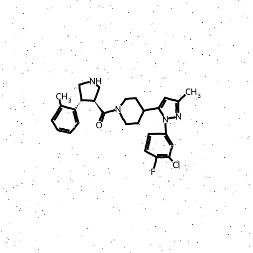 Cc1cc(C2CCN(C(=O)[C@@H]3CNC[C@H]3c3ccccc3C)CC2)n(-c2ccc(F)c(Cl)c2)n1